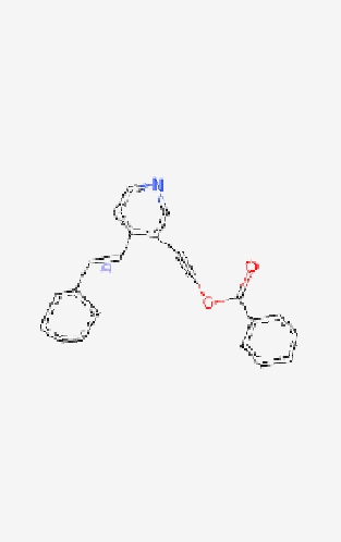 O=C(OC#Cc1cnccc1/C=C/c1ccccc1)c1ccccc1